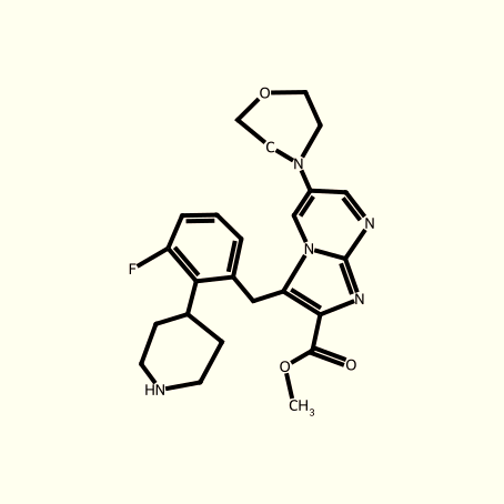 COC(=O)c1nc2ncc(N3CCOCC3)cn2c1Cc1cccc(F)c1C1CCNCC1